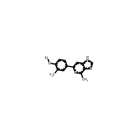 CCOc1ccc(-c2cc3[nH]cnc3c(C)n2)cc1C(F)(F)F